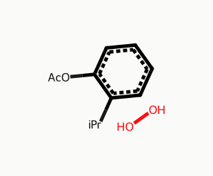 CC(=O)Oc1ccccc1C(C)C.OO